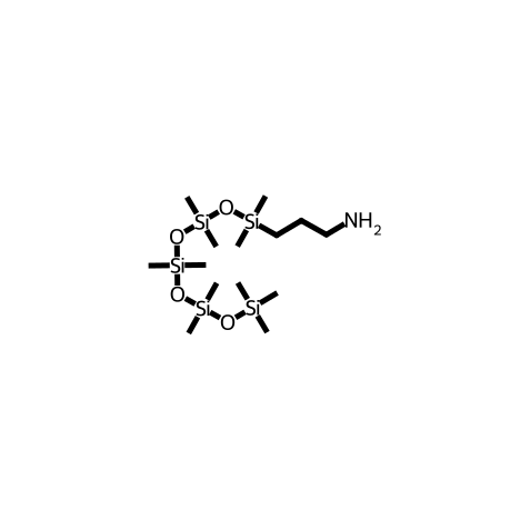 C[Si](C)(C)O[Si](C)(C)O[Si](C)(C)O[Si](C)(C)O[Si](C)(C)CCCN